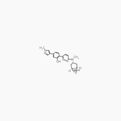 CN(c1ccc(-c2ccc(-c3cnn(C)c3)cc2O)nn1)[C@H]1C[C@@H]2CC(F)(F)[C@H](C1)N2